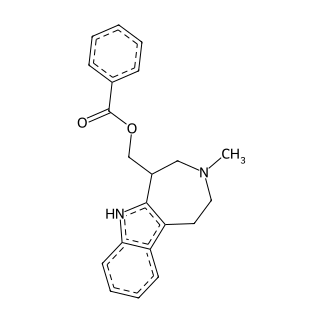 CN1CCc2c([nH]c3ccccc23)C(COC(=O)c2ccccc2)C1